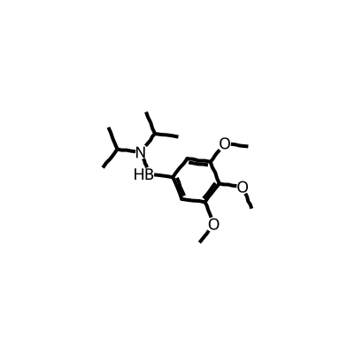 COc1cc(BN(C(C)C)C(C)C)cc(OC)c1OC